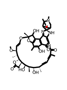 CO[C@H]1/C=C/O[C@@]2(C)Oc3c(C)c(O)c4c(c3C2O)C2=N[C@@]3(NC2=C(NC(=O)/C(C)=C\C=C\[C@H](C)[C@H](O)[C@@H](C)[C@@H](O)[C@@H](C)[C@H](OC(C)=O)[C@@H]1C)C4=O)C1CN(C)CC3N(C)C1